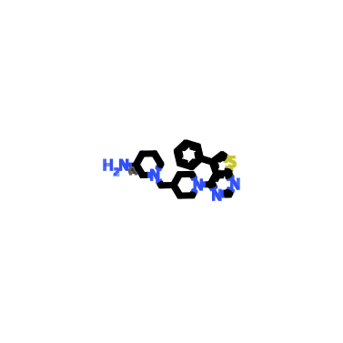 N[C@H]1CCCN(CC2CCN(c3ncnc4scc(-c5ccccc5)c34)CC2)C1